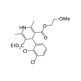 CCOC(=O)C1=C(C)NC(C)=C(C(=O)OCCOC)C1c1cccc(Cl)c1Cl